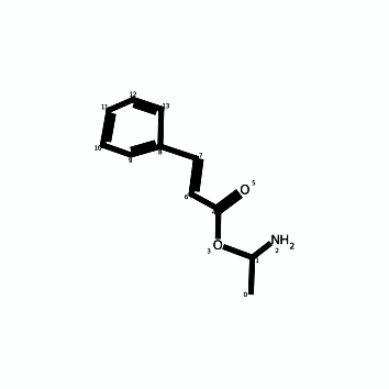 CC(N)OC(=O)C=Cc1ccccc1